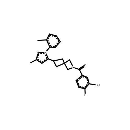 Cc1cc(C2CC3(C2)CN(C(=O)c2ccc(F)c(O)c2)C3)n(-c2ccccc2C)n1